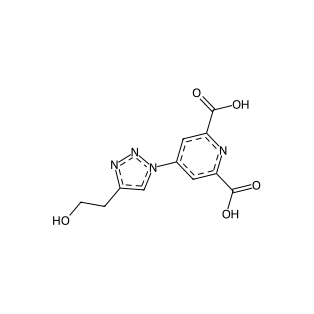 O=C(O)c1cc(-n2cc(CCO)nn2)cc(C(=O)O)n1